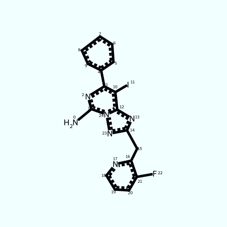 Nc1nc(-c2ccccc2)c(I)c2nc(Cc3ncccc3F)nn12